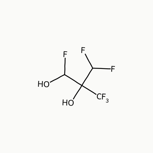 OC(F)C(O)(C(F)F)C(F)(F)F